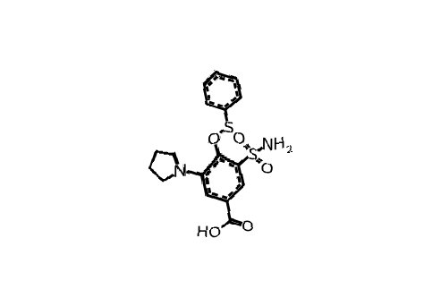 NS(=O)(=O)c1cc(C(=O)O)cc(N2CCCC2)c1OSc1ccccc1